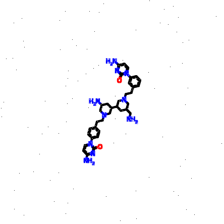 NCC1CC(C2CC(N)CN(CCc3ccc(-n4ccc(N)nc4=O)cc3)C2)CN(CCc2cccc(-n3ccc(N)nc3=O)c2)C1